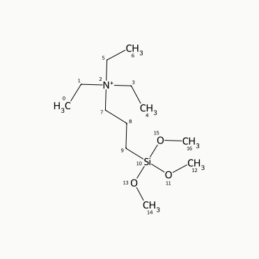 CC[N+](CC)(CC)CCC[Si](OC)(OC)OC